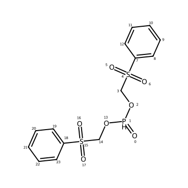 O=[PH](OCS(=O)(=O)c1ccccc1)OCS(=O)(=O)c1ccccc1